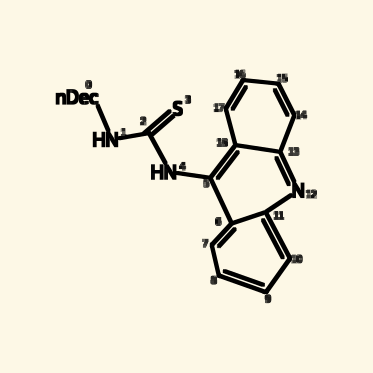 CCCCCCCCCCNC(=S)Nc1c2ccccc2nc2ccccc12